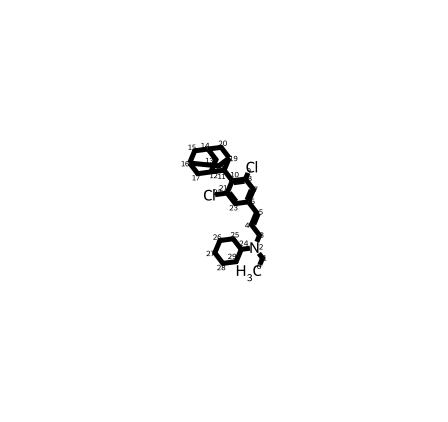 CCN(CC=Cc1cc(Cl)c(C2C3CC4CC(C3)CC2C4)c(Cl)c1)C1CCCCC1